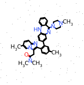 Cc1ccc(-c2nc3ccc(C)cn3c2CC(=O)N(C)C)c(-c2ccc3c(c2)N=C(N2CCN(C)CC2)c2ccccc2N3)c1